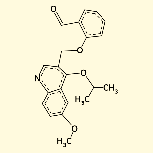 COc1ccc2ncc(COc3ccccc3C=O)c(OC(C)C)c2c1